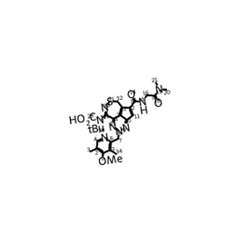 COc1c(C)cnc(Cn2nc3cc(C(=O)NCC(=O)N(C)C)c4c-3c(n2)C(N(C(=O)O)C(C)(C)C)=NSC4)c1C